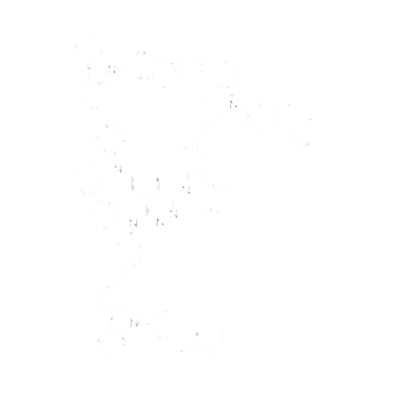 CC1(C)c2ccccc2-c2ccc(-n3c4ccccc4c4ccc(-c5ccc6c(c5)c5ccccc5n6-c5ccc6c(-n7c8ccccc8c8cc(-c9ccc%10c%11ccccc%11n(-c%11ccc%12c(c%11)C(C)(C)c%11ccccc%11-%12)c%10c9)ccc87)nnc(-n7c8ccccc8c8cc(-c9ccc%10c%11ccccc%11n(-c%11ccc%12c(c%11)C(C)(C)c%11ccccc%11-%12)c%10c9)ccc87)c6c5)cc43)cc21